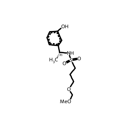 COCOCCCS(=O)(=O)N[C@H](C)c1cccc(O)c1